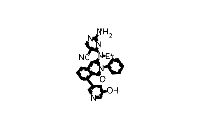 CCN(c1nc(N)ncc1C#N)c1cc2cccc(-c3cncc(O)c3)c2c(=O)n1-c1ccccc1